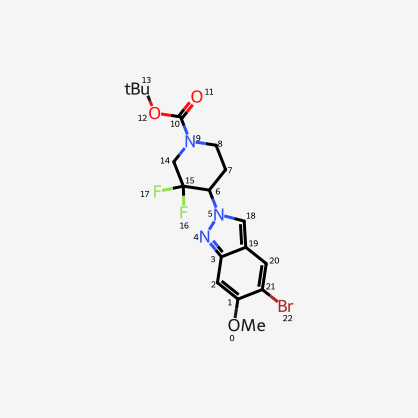 COc1cc2nn(C3CCN(C(=O)OC(C)(C)C)CC3(F)F)cc2cc1Br